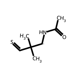 CC(=O)N[CH]C(C)(C)C=S